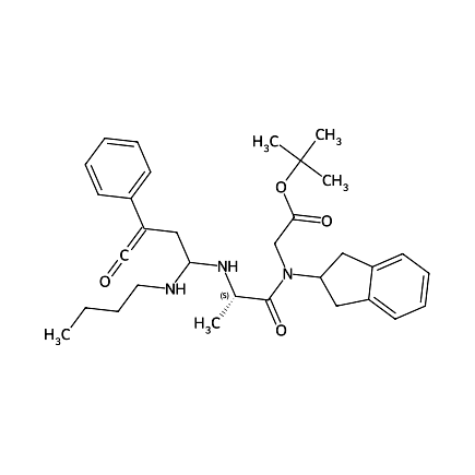 CCCCNC(CC(=C=O)c1ccccc1)N[C@@H](C)C(=O)N(CC(=O)OC(C)(C)C)C1Cc2ccccc2C1